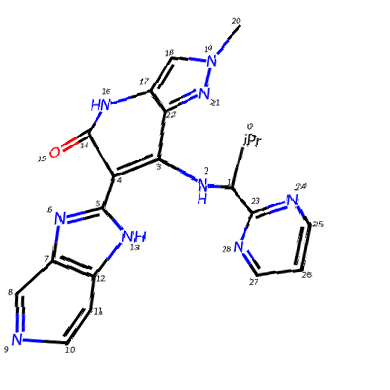 CC(C)C(Nc1c(-c2nc3cnccc3[nH]2)c(=O)[nH]c2cn(C)nc12)c1ncccn1